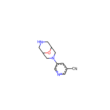 N#Cc1cncc(N2CC3CNCC(C2)O3)c1